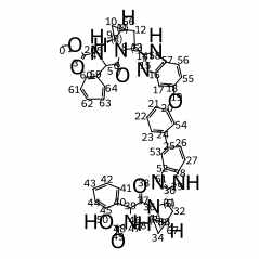 COC(=O)NC(C(=O)N1[C@@H]2C[C@H]2C[C@H]1c1nc2cc(Oc3cccc(-c4ccc5[nH]c([C@@H]6C[C@H]7C[C@H]7N6C(=O)C(c6ccccc6)N(C)C(=O)O)nc5c4)c3)ccc2[nH]1)c1ccccc1